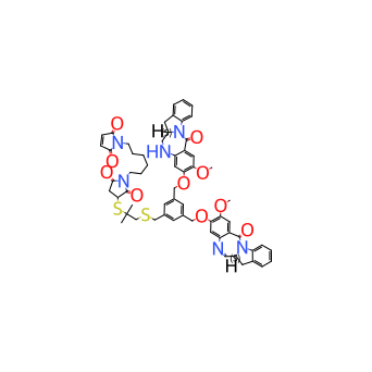 COc1cc2c(cc1OCc1cc(COc3cc4c(cc3OC)C(=O)N3c5ccccc5C[C@H]3CN4)cc(CSCC(C)(C)SC3CC(=O)N(CCCCCCN4C(=O)C=CC4=O)C3=O)c1)N=C[C@@H]1Cc3ccccc3N1C2=O